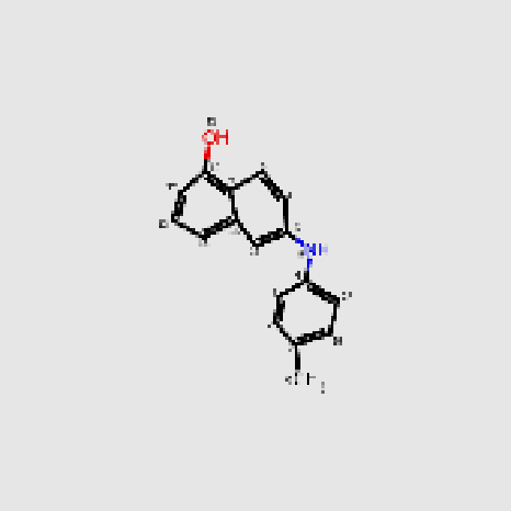 Cc1ccc(Nc2ccc3c(O)cccc3c2)cc1